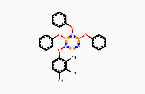 N#Cc1ccc(On2pnp(Oc3ccccc3)n(Oc3ccccc3)p2Oc2ccccc2)c(C#N)c1C#N